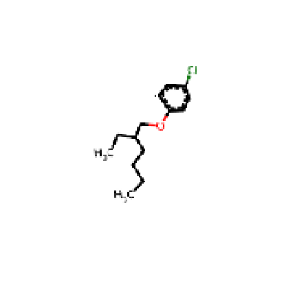 CCCCC(CC)COc1[c]cc(Cl)cc1